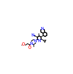 COCCC(=O)N1CCN(c2nc(C3CC3)c(-c3cccc4cnccc34)c(C)c2C#N)CC1C